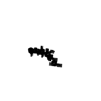 CC(C)n1c(=O)c(-c2cc(F)c(NS(=O)(=O)Cc3ccccc3F)c(F)c2F)cc2cnc(N[C@H]3CNC[C@H](O)C3)nc21